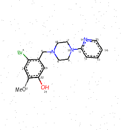 COc1cc(Br)c(CN2CCN(c3ccccn3)CC2)cc1O